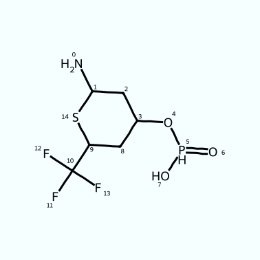 NC1CC(O[PH](=O)O)CC(C(F)(F)F)S1